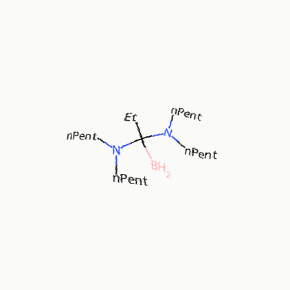 BC(CC)(N(CCCCC)CCCCC)N(CCCCC)CCCCC